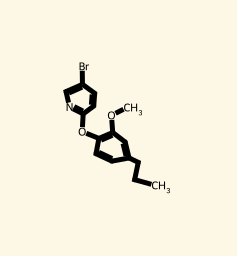 CCCc1ccc(Oc2ccc(Br)cn2)c(OC)c1